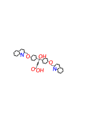 O=C(O)C#CC(O)(c1ccc(OCc2ccc3ccccc3n2)cc1)c1ccc(OCc2ccc3ccccc3n2)cc1